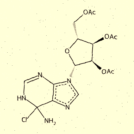 CC(=O)OC[C@H]1O[C@@H](n2cnc3c2N=CNC3(N)Cl)[C@H](OC(C)=O)[C@@H]1OC(C)=O